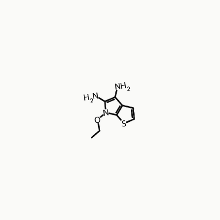 CCOn1c(N)c(N)c2ccsc21